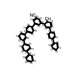 CC1C=CC(c2ccc(-c3ccccc3)cc2)=CC1c1cc(C#N)cc(-c2ccc(-c3cccc(-c4ccc(-c5ccccc5)cc4)c3)cc2)c1